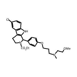 CCOC(=O)N1CCc2c([nH]c3ccc(Cl)cc23)C1c1ccc(OCCCN(C)CCOC)cc1